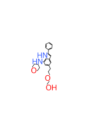 OCCOCCCc1cc(NC2CCOCC2)c2[nH]c(-c3ccccc3)cc2c1